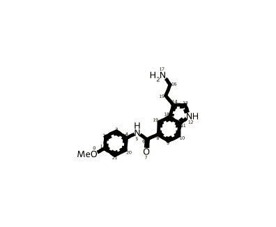 COc1ccc(NC(=O)c2ccc3[nH]cc(CCN)c3c2)cc1